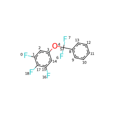 Fc1cc(OC(F)(F)c2ccccc2)cc(F)c1F